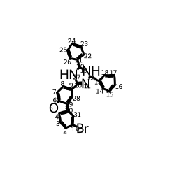 Brc1ccc2oc3ccc(C4=NC(c5ccccc5)NC(c5ccccc5)N4)cc3c2c1